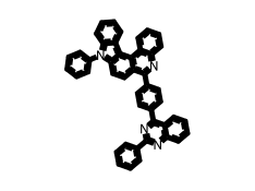 c1ccc(-c2nc(-c3ccc(-c4nc5ccccc5c5c4ccc4c5c5ccccc5n4-c4ccccc4)cc3)c3ccccc3n2)cc1